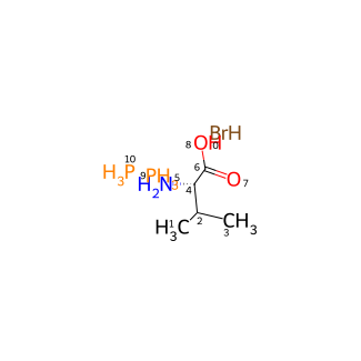 Br.CC(C)[C@H](N)C(=O)O.P.P